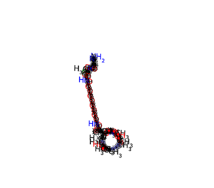 CO[C@H]1C[C@@H]2CC[C@@H](C)[C@@](O)(O2)C(=O)C(=O)N2CCCC[C@H]2C(=O)O[C@H]([C@H](C)C[C@@H]2CC[C@@H](OC(=O)NCCOCCOCCOCCOCCOCCOCCOCCOCCC(=O)NCCS(=O)(=O)c3ccc(C(=O)N4CCOc5ccc(-c6ccc(N)nc6)cc5C4)c(C)c3F)[C@H](OC)C2)CC[C@H](C)/C=C(\C)[C@@H](O)[C@@H](OC)C(=O)[C@H](C)C[C@H](C)/C=C/C=C/C=C/1C